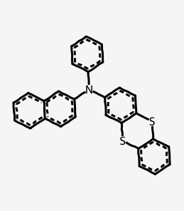 c1ccc(N(c2ccc3c(c2)Sc2ccccc2S3)c2ccc3ccccc3c2)cc1